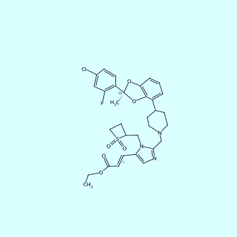 CCOC(=O)/C=C/c1cnc(CN2CCC(c3cccc4c3O[C@@](C)(c3ccc(Cl)cc3F)O4)CC2)n1CC1CCS1(=O)=O